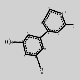 Cc1cc(-c2cc(N)cc(Cl)c2)ccn1